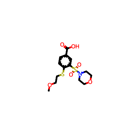 COCCSc1ccc(C(=O)O)cc1S(=O)(=O)N1CCOCC1